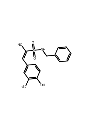 CC(C)(C)c1cc(/C=C(/C#N)S(=O)(=O)NCc2ccccc2)ccc1O